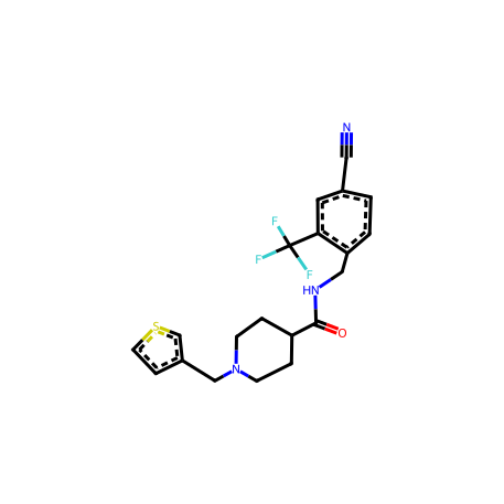 N#Cc1ccc(CNC(=O)C2CCN(Cc3ccsc3)CC2)c(C(F)(F)F)c1